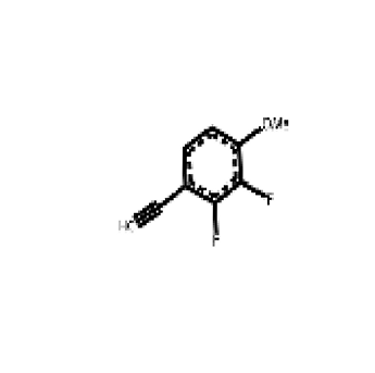 C#Cc1ccc(OC)c(F)c1F